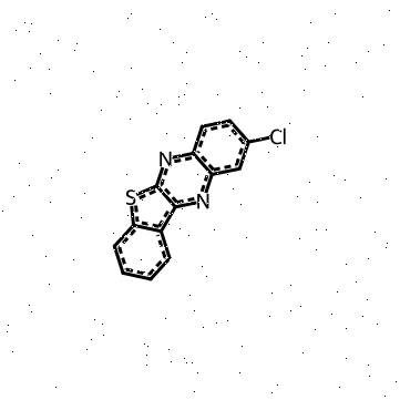 Clc1ccc2nc3sc4ccccc4c3nc2c1